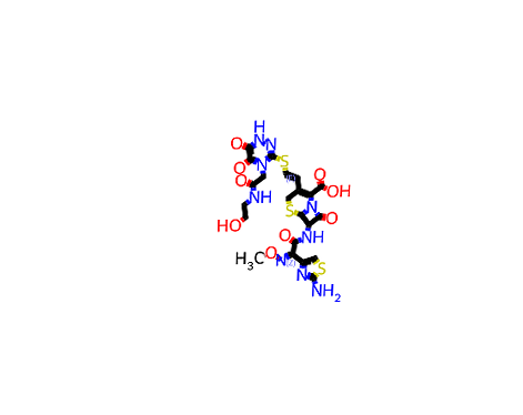 CO/N=C(\C(=O)NC1C(=O)N2C(C(=O)O)=C(/C=C/Sc3n[nH]c(=O)c(=O)n3CC(=O)NCCO)CSC12)c1csc(N)n1